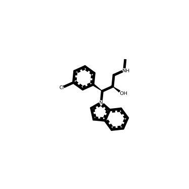 CNC[C@@H](O)[C@H](c1cccc(Cl)c1)n1ccc2ccccc21